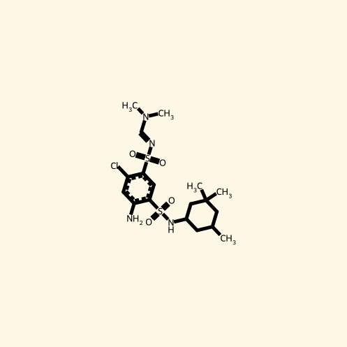 CC1CC(NS(=O)(=O)c2cc(S(=O)(=O)N=CN(C)C)c(Cl)cc2N)CC(C)(C)C1